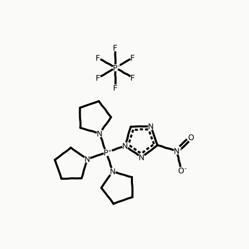 F[P-](F)(F)(F)(F)F.O=[N+]([O-])c1ncn([P+](N2CCCC2)(N2CCCC2)N2CCCC2)n1